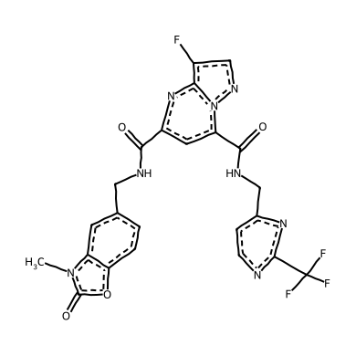 Cn1c(=O)oc2ccc(CNC(=O)c3cc(C(=O)NCc4ccnc(C(F)(F)F)n4)n4ncc(F)c4n3)cc21